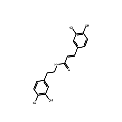 O=C(C=Cc1ccc(O)c(O)c1)NCCc1ccc(O)c(O)c1